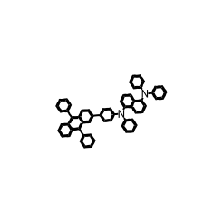 c1ccc(-c2c3ccccc3c(-c3ccccc3)c3cc(-c4ccc(N(c5ccccc5)c5cccc6c(N(c7ccccc7)c7ccccc7)cccc56)cc4)ccc23)cc1